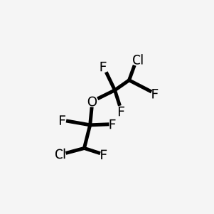 FC(Cl)C(F)(F)OC(F)(F)C(F)Cl